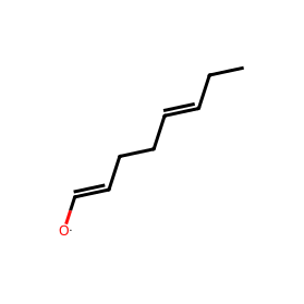 CC/C=C/CC/C=C/[O]